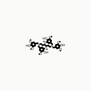 COc1cc(CN(CCCCCCN(Cc2cc(OC)c(O)c(OC)c2)Cc2cc(OC)c(O)c(OC)c2)Cc2cc(OC)c(O)c(OC)c2)cc(OC)c1O